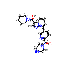 O=C(c1ccc(-c2cccc3c(C(=O)N4CCCCC4)cnn23)cn1)N1CCNCC1